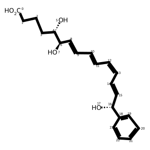 O=C(O)CCC[C@H](O)[C@H](O)/C=C/C=C/C=C\C=C\[C@@H](O)c1ccccc1